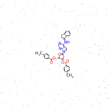 Cc1ccc(C(=O)OC[C@@H]2O[C@@H](n3ccc4c(N[C@H]5CCc6ccccc65)ncnc43)C[C@@H]2OC(=O)c2ccc(C)cc2)cc1